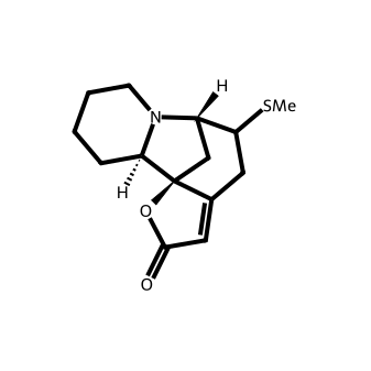 CSC1CC2=CC(=O)O[C@@]23C[C@@H]1N1CCCC[C@@H]13